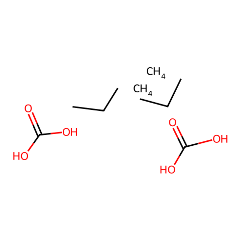 C.C.CCC.CCC.O=C(O)O.O=C(O)O